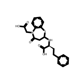 O=C(O)CN1C(=O)CC(N[C@@H](CCc2ccccc2)C(=O)O)Sc2ccccc21